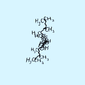 CC(C)=CCCC(C)=CCCC(C)=CC(O)C(F)(F)C(F)(F)O[PH](=O)OC(F)(F)C(F)(F)C(O)C=C(C)CCC=C(C)CCC=C(C)C